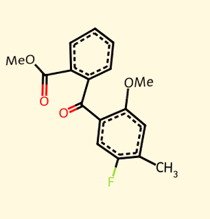 COC(=O)c1ccccc1C(=O)c1cc(F)c(C)cc1OC